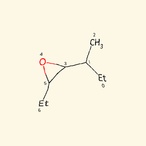 CCC(C)C1OC1CC